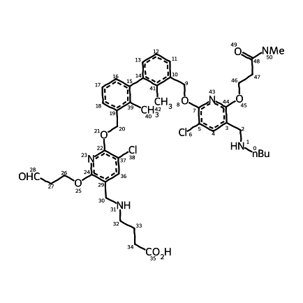 CCCCNCc1cc(Cl)c(OCc2cccc(-c3cccc(COc4nc(OCCC=O)c(CNCCCC(=O)O)cc4Cl)c3C)c2C)nc1OCCC(=O)NC